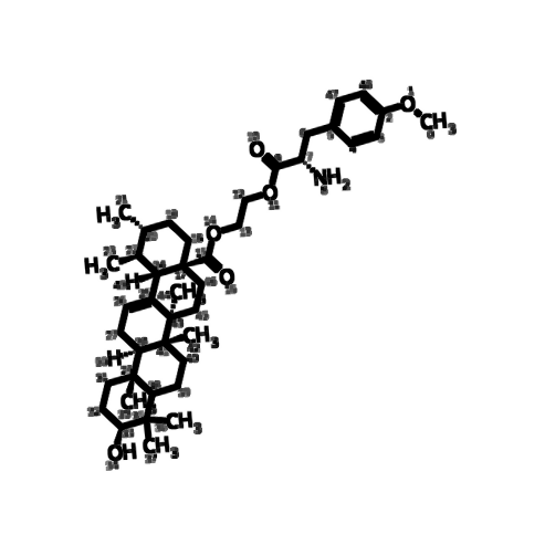 COc1ccc(C[C@H](N)C(=O)OCCOC(=O)[C@]23CC[C@@H](C)[C@H](C)[C@H]2C2=CC[C@@H]4[C@@]5(C)CC[C@H](O)C(C)(C)C5CC[C@@]4(C)[C@]2(C)CC3)cc1